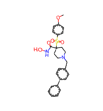 COc1ccc(S(=O)(=O)C2(C(=O)NO)CCN(Cc3ccc(-c4ccccc4)cc3)CC2)cc1